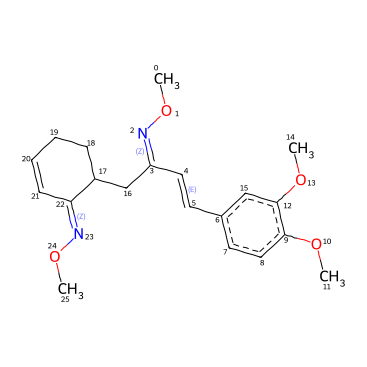 CO/N=C(\C=C\c1ccc(OC)c(OC)c1)CC1CCC=C/C1=N\OC